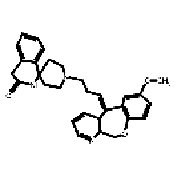 COc1ccc2c(c1)/C(=C/CCN1CCC3(CC1)NC(=O)Cc1ccccc13)C1C=CC=NC1CO2